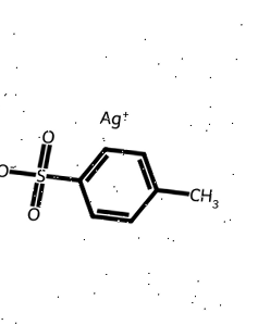 Cc1ccc(S(=O)(=O)[O-])cc1.[Ag+]